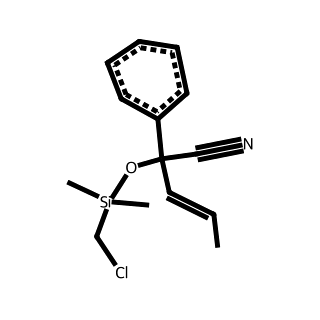 C/C=C/C(C#N)(O[Si](C)(C)CCl)c1ccccc1